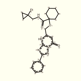 CCC1(CNC(=O)C2(OCc3cc(=O)n4nc(-c5ccccc5)nc4[nH]3)CCCCC2)CC1